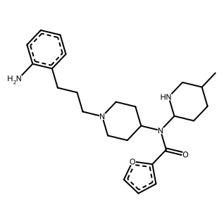 CC1CCC(N(C(=O)c2ccco2)C2CCN(CCCc3ccccc3N)CC2)NC1